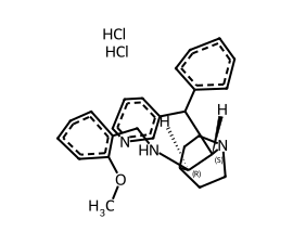 COc1ccccc1CN[C@@H]1C2CCN(CC2)[C@H]1C(c1ccccc1)c1cccnc1.Cl.Cl